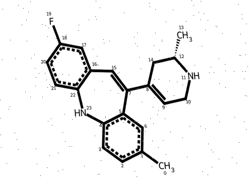 Cc1ccc2c(c1)C(C1=CCN[C@@H](C)C1)=Cc1cc(F)ccc1N2